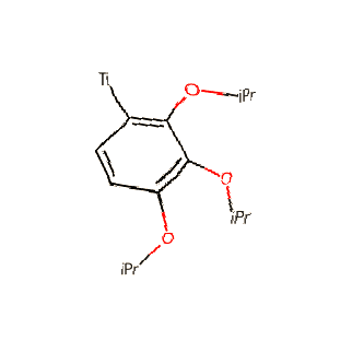 CC(C)Oc1cc[c]([Ti])c(OC(C)C)c1OC(C)C